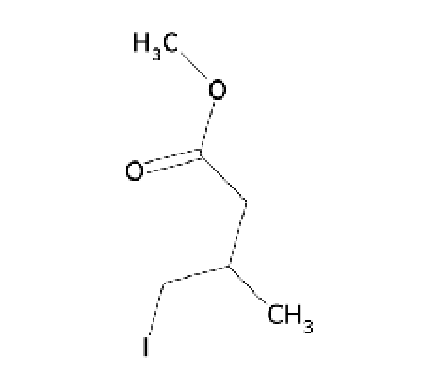 COC(=O)CC(C)CI